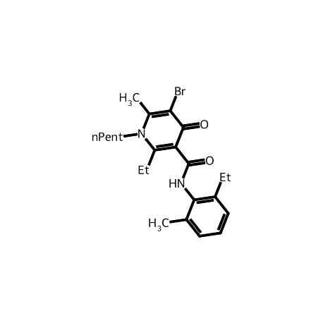 CCCCCn1c(C)c(Br)c(=O)c(C(=O)Nc2c(C)cccc2CC)c1CC